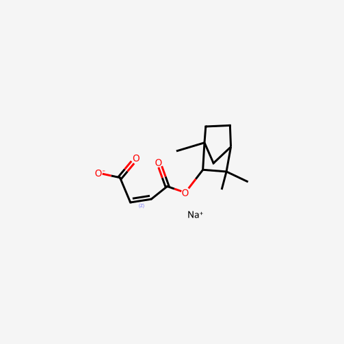 CC12CCC(C1)C(C)(C)C2OC(=O)/C=C\C(=O)[O-].[Na+]